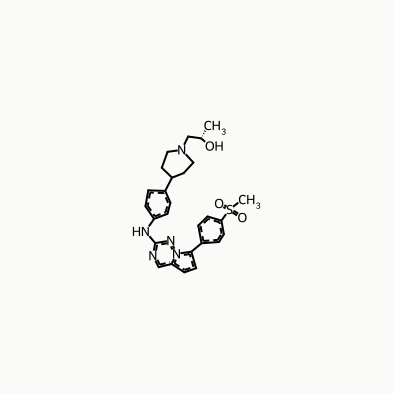 C[C@H](O)CN1CCC(c2ccc(Nc3ncc4ccc(-c5ccc(S(C)(=O)=O)cc5)n4n3)cc2)CC1